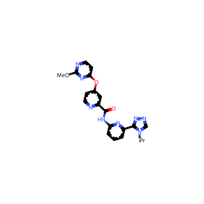 COc1nccc(Oc2ccnc(C(=O)Nc3cccc(-c4nncn4C(C)C)n3)c2)n1